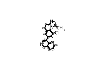 Cc1nnc2n1-c1c(Cl)cc(-c3cncc4cccnc34)cc1CC2